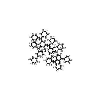 Cc1c2c(cc3c1N(c1ccccc1)c1cc(N(c4ccccc4)c4ccccc4)c4c5ccccc5n5c4c1B3c1ccc(-c3ccccc3)cc1-5)B1c3ccccc3-n3c4ccccc4c4c(-c5ccccc5)cc(c1c43)N2c1ccccc1